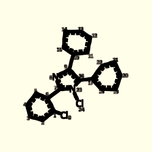 Clc1ccccc1-c1nc(-c2ccccc2)c(-c2ccccc2)n1Cl